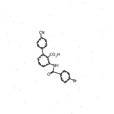 N#Cc1ccc(-c2cccc(NC(=O)c3ccc(Br)cc3)c2C(=O)O)cc1